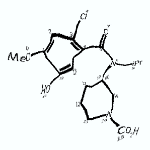 COc1cc(Cl)c(C(=O)N(C(C)C)[C@@H]2CCCN(C(=O)O)C2)cc1O